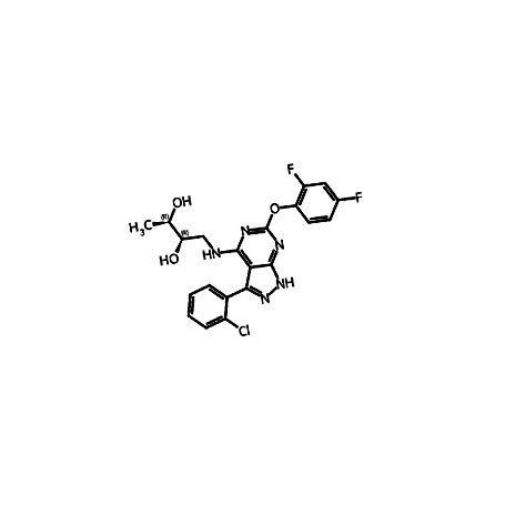 C[C@@H](O)[C@H](O)CNc1nc(Oc2ccc(F)cc2F)nc2[nH]nc(-c3ccccc3Cl)c12